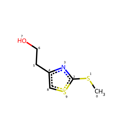 CSc1nc(CCO)cs1